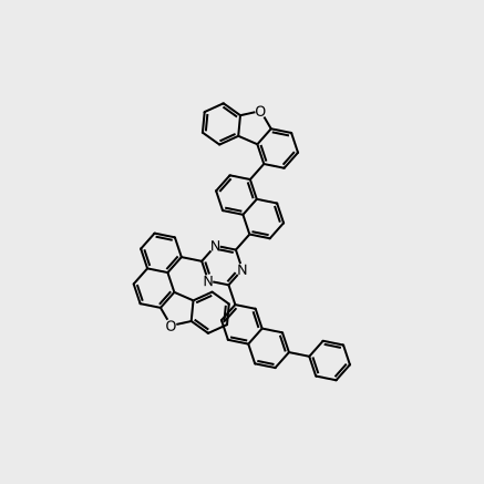 c1ccc(-c2ccc3ccc(-c4nc(-c5cccc6c(-c7cccc8oc9ccccc9c78)cccc56)nc(-c5cccc6ccc7oc8ccccc8c7c56)n4)cc3c2)cc1